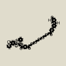 O=C1CCC(Nc2ccc(N3CCN(C(=O)CCOCCOCCOCCOCCOCCC(=O)N4CCN(C(=O)c5cc(NC(=O)c6cc(-c7ccccn7)c(Cl)cc6Cl)n(-c6ccccc6)n5)CC4)CC3)cc2)C(=O)N1